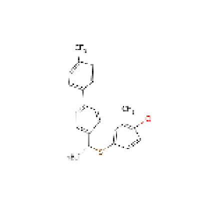 CCCC[C@@H](Sc1ccc([O])c(C)c1)c1ccc(-c2ccc(C(F)(F)F)cc2)cc1